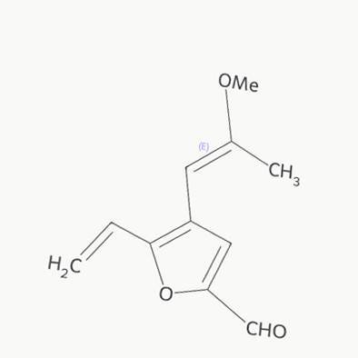 C=Cc1oc(C=O)cc1/C=C(\C)OC